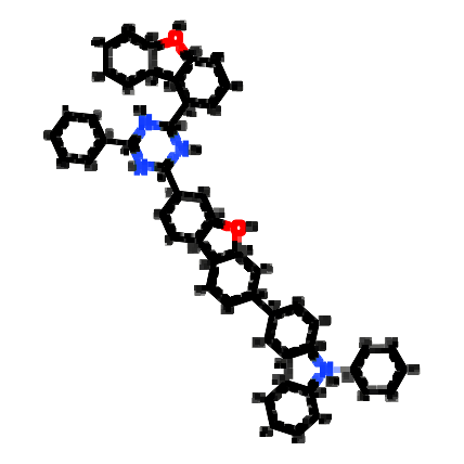 c1ccc(-c2nc(-c3ccc4c(c3)oc3cc(-c5ccc6c(c5)c5ccccc5n6-c5ccccc5)ccc34)nc(-c3cccc4oc5ccccc5c34)n2)cc1